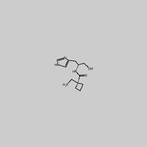 NCC1(C(=O)NC(CO)Cc2c[nH]cn2)CCC1